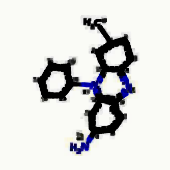 Cc1ccc2nc3ccc(N)cc3[n+](-c3ccccc3)c2c1